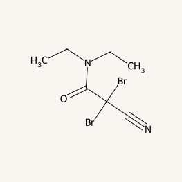 CCN(CC)C(=O)C(Br)(Br)C#N